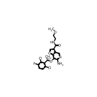 COCCNC(=O)c1coc2c(O[C@H](C)c3c(Cl)ccc(F)c3Cl)c(N)ncc12